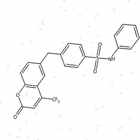 O=c1cc(C(F)(F)F)c2cc(Cc3ccc(S(=O)(=O)Nc4ccccc4)cc3)ccc2o1